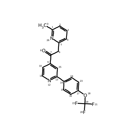 Cc1cccc(CC(=O)c2ccnc(-c3ccc(OC(F)(F)F)cc3)c2)n1